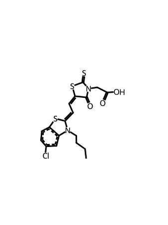 CCCCN1/C(=C/C=C2/SC(=S)N(CC(=O)O)C2=O)Sc2ccc(Cl)cc21